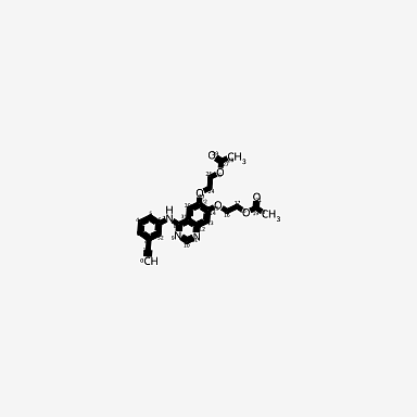 C#Cc1cccc(Nc2ncnc3cc(OCCOC(C)=O)c(OCCOC(C)=O)cc23)c1